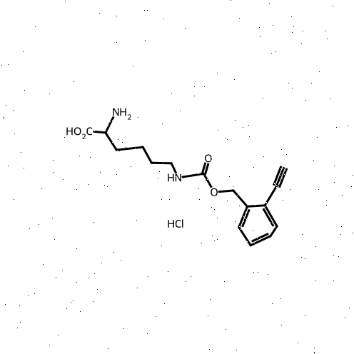 C#Cc1ccccc1COC(=O)NCCCCC(N)C(=O)O.Cl